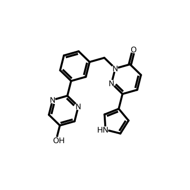 O=c1ccc(-c2cc[nH]c2)nn1Cc1cccc(-c2ncc(O)cn2)c1